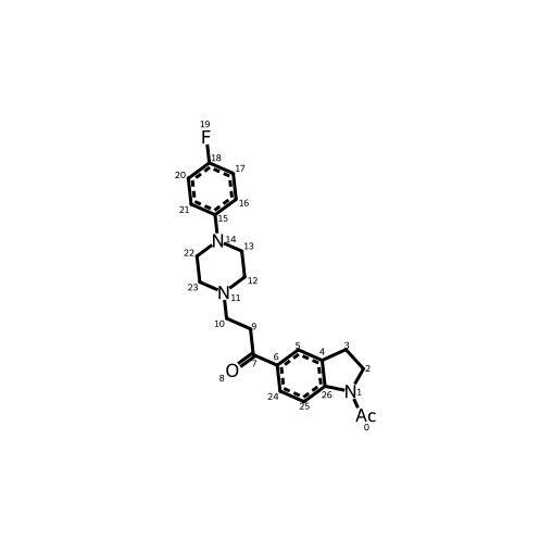 CC(=O)N1CCc2cc(C(=O)CCN3CCN(c4ccc(F)cc4)CC3)ccc21